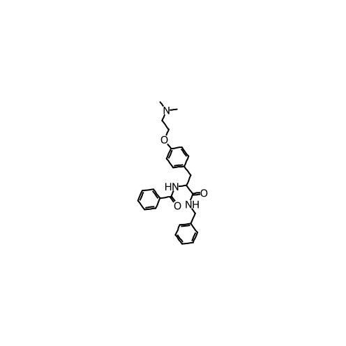 CN(C)CCOc1ccc(CC(NC(=O)c2ccccc2)C(=O)NCc2ccccc2)cc1